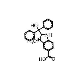 CN1c2cc(C(=O)O)ccc2NC1C(O)(c1ccccc1)c1ccccc1